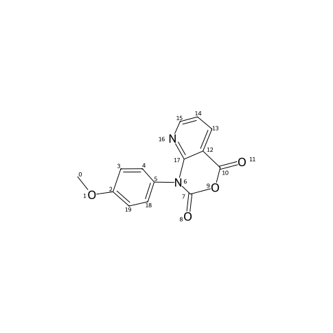 COc1ccc(-n2c(=O)oc(=O)c3cccnc32)cc1